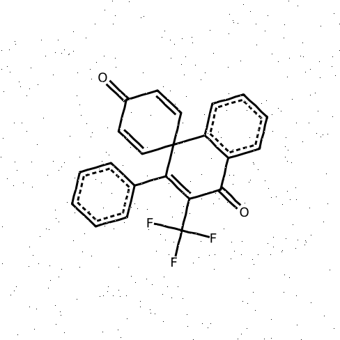 O=C1C=CC2(C=C1)C(c1ccccc1)=C(C(F)(F)F)C(=O)c1ccccc12